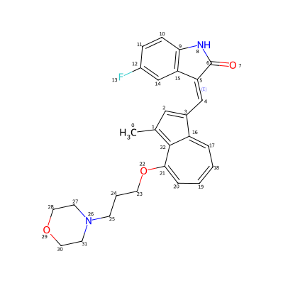 Cc1cc(/C=C2/C(=O)Nc3ccc(F)cc32)c2ccccc(OCCCN3CCOCC3)c1-2